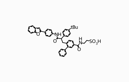 CC(C)(C)c1ccc(C(Cc2ccc(C(=O)NCCS(=O)(=O)O)cc2-c2ccccc2)C(=O)Nc2ccc(-c3cc4ccccc4o3)cc2)cc1